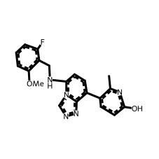 COc1cccc(F)c1CNc1ccc(-c2ccc(O)nc2C)c2nncn12